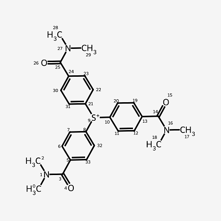 CN(C)C(=O)c1ccc([S+](c2ccc(C(=O)N(C)C)cc2)c2ccc(C(=O)N(C)C)cc2)cc1